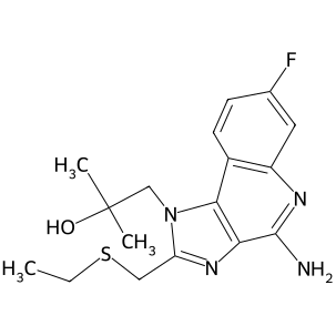 CCSCc1nc2c(N)nc3cc(F)ccc3c2n1CC(C)(C)O